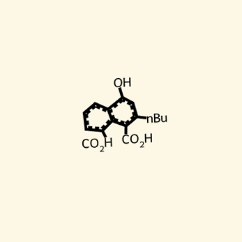 CCCCc1cc(O)c2cccc(C(=O)O)c2c1C(=O)O